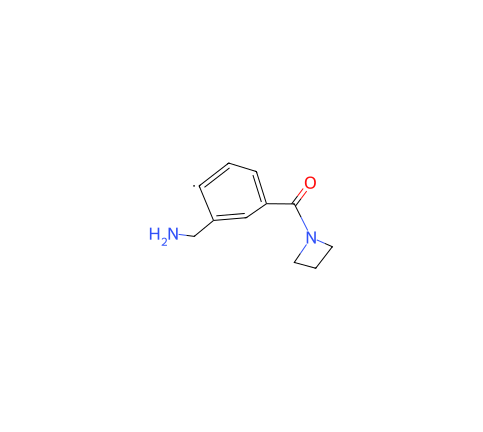 NCc1[c]ccc(C(=O)N2CCC2)c1